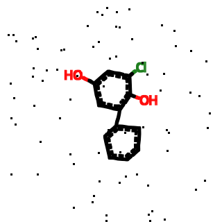 Oc1cc(Cl)c(O)c(-c2ccccc2)c1